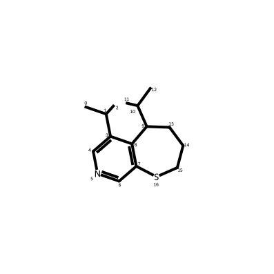 CC(C)c1cncc2c1C(C(C)C)CCCS2